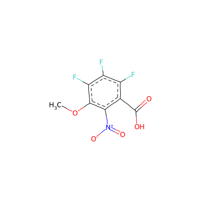 COc1c(F)c(F)c(F)c(C(=O)O)c1[N+](=O)[O-]